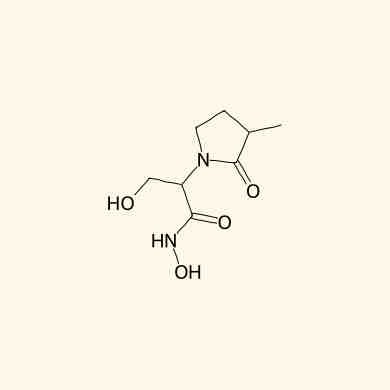 CC1CCN(C(CO)C(=O)NO)C1=O